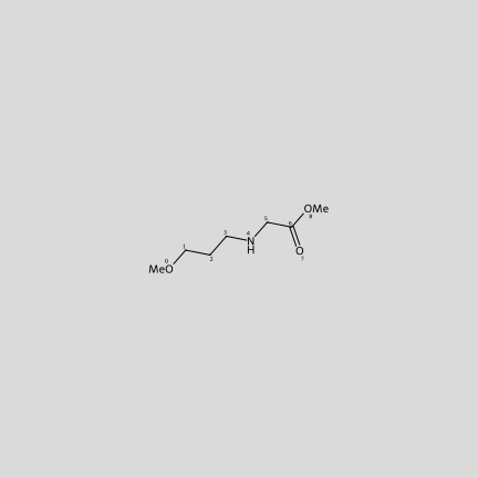 COCCCNCC(=O)OC